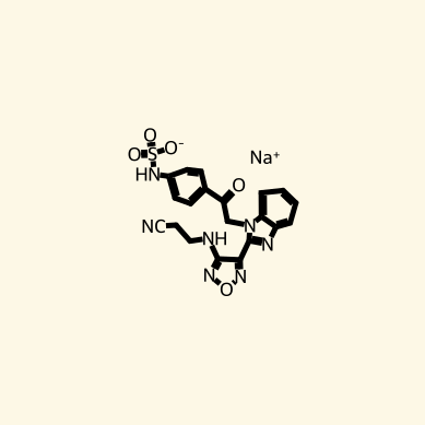 N#CCCNc1nonc1-c1nc2ccccc2n1CC(=O)c1ccc(NS(=O)(=O)[O-])cc1.[Na+]